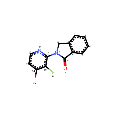 O=C1c2ccccc2CN1c1nccc(I)c1F